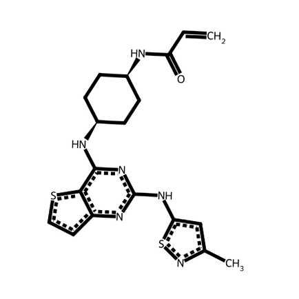 C=CC(=O)N[C@H]1CC[C@@H](Nc2nc(Nc3cc(C)ns3)nc3ccsc23)CC1